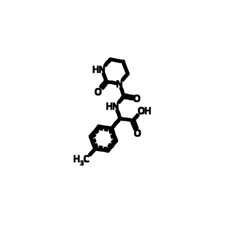 Cc1ccc(C(NC(=O)N2CCCNC2=O)C(=O)O)cc1